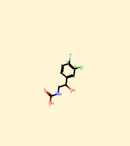 O=C(O)NCC(O)c1ccc(F)c(Cl)c1